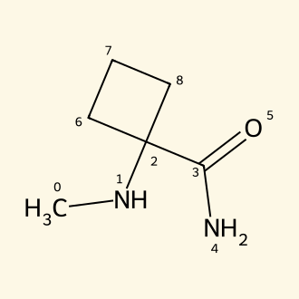 CNC1(C(N)=O)CCC1